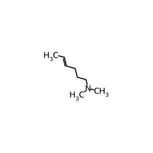 CC=CCCCN(C)C